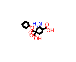 NC1=C(C(=O)O)C=CC(C(=O)O)(C(=O)Oc2ccccc2)C1